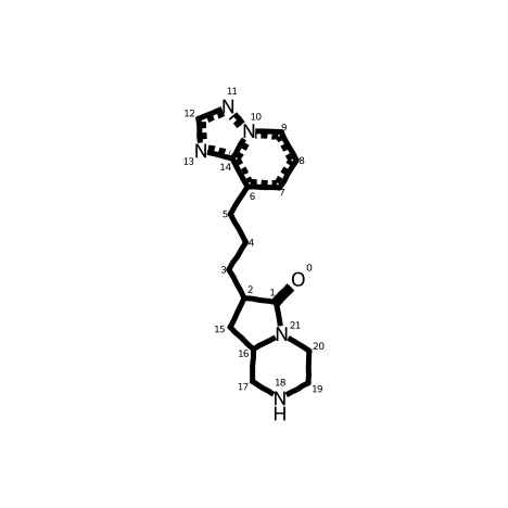 O=C1C(CCCc2cccn3ncnc23)CC2CNCCN12